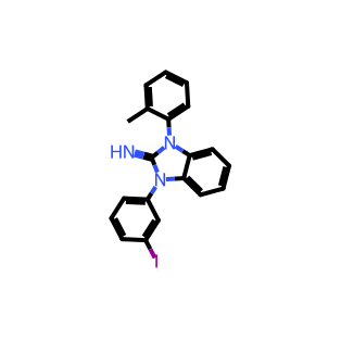 Cc1ccccc1-n1c(=N)n(-c2cccc(I)c2)c2ccccc21